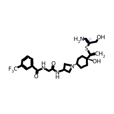 C=C(S/C(=C\N)CO)[C@]1(O)CC[C@H](N2CC(NC(=O)CNC(=O)c3cccc(C(F)(F)F)c3)C2)CC1